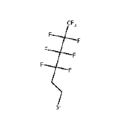 FC(F)(F)C(F)(F)C(F)(F)C(F)(F)CC[S]